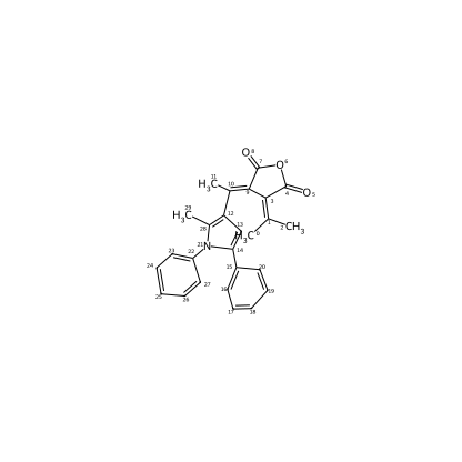 CC(C)=C1C(=O)OC(=O)/C1=C(\C)c1cc(-c2ccccc2)n(-c2ccccc2)c1C